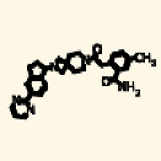 Cc1ccc(CC(=O)N2CCC3(CC2)CN(C2CCc4cc(-c5ncccn5)ccc42)C3)c(C(N)=O)c1